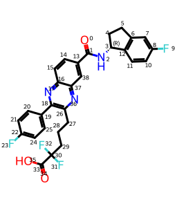 O=C(N[C@@H]1CCc2cc(F)ccc21)c1ccc2nc(-c3ccc(F)cc3)c(CCCC(F)(F)C(=O)O)nc2c1